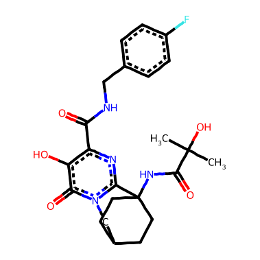 CC(C)(O)C(=O)NC12CCC(CC1)Cn1c2nc(C(=O)NCc2ccc(F)cc2)c(O)c1=O